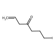 C=CCC(=O)CCCI